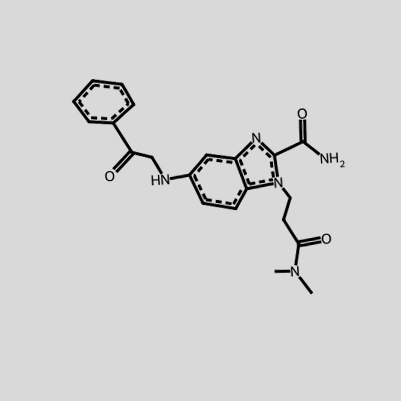 CN(C)C(=O)CCn1c(C(N)=O)nc2cc(NCC(=O)c3ccccc3)ccc21